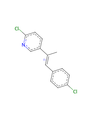 C/C(=C\c1ccc(Cl)cc1)c1ccc(Cl)nc1